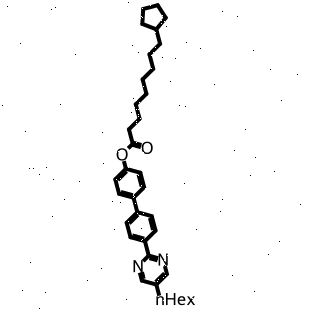 CCCCCCc1cnc(-c2ccc(-c3ccc(OC(=O)CCCCCCCCC4CCCC4)cc3)cc2)nc1